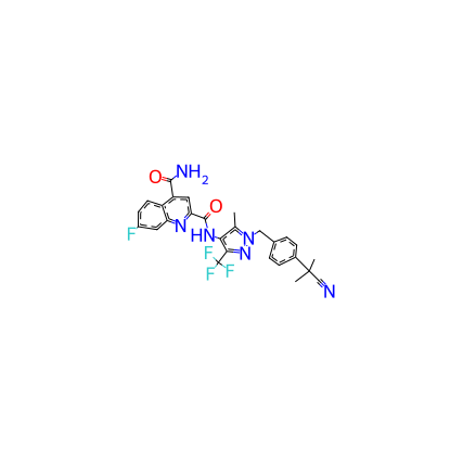 Cc1c(NC(=O)c2cc(C(N)=O)c3ccc(F)cc3n2)c(C(F)(F)F)nn1Cc1ccc(C(C)(C)C#N)cc1